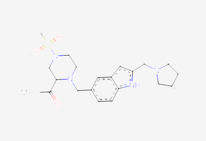 COC(=O)C1CN(S(C)(=O)=O)CCN1Cc1ccc2[nH]c(CN3CCCC3)cc2c1